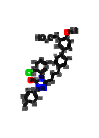 CCOc1ccc(-c2ccc(CCCc3nn(-c4ccc(C)cc4)c(=O)n3-c3ccccc3Cl)cc2)cc1CC(=O)O